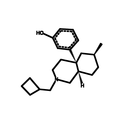 C[C@H]1CC[C@H]2CN(CC3CCC3)CC[C@@]2(c2cccc(O)c2)C1